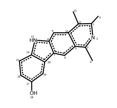 Cc1nc(C)c2cc3c(cc2c1C)[nH]c1ccc(O)cc13